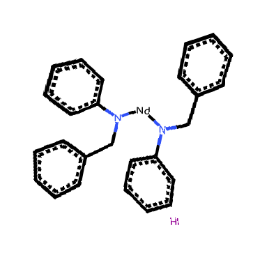 I.c1ccc(C[N]([Nd][N](Cc2ccccc2)c2ccccc2)c2ccccc2)cc1